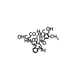 CC(=O)N1CC(NC(=O)c2cc(C)c(CO)c(C)c2)C(=O)N(CC(=O)NC(C=O)CC(=O)O)c2ccccc21